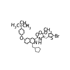 COC(=O)[C@H](Cc1ccc(Br)s1)NC(=O)c1cc2cc(Oc3ccc(C(C)(C)C)cc3)ccc2c(CC2CCCC2)n1